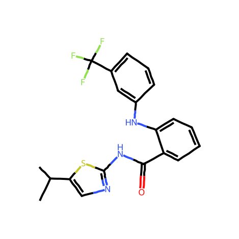 CC(C)c1cnc(NC(=O)c2ccccc2Nc2cccc(C(F)(F)F)c2)s1